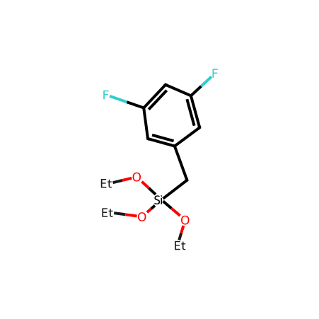 CCO[Si](Cc1cc(F)cc(F)c1)(OCC)OCC